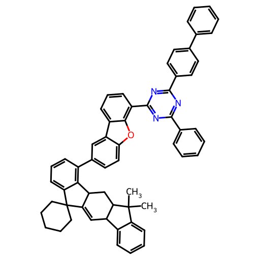 CC1(C)c2ccccc2C2C=C3C(CC21)c1c(-c2ccc4oc5c(-c6nc(-c7ccccc7)nc(-c7ccc(-c8ccccc8)cc7)n6)cccc5c4c2)cccc1C31CCCCC1